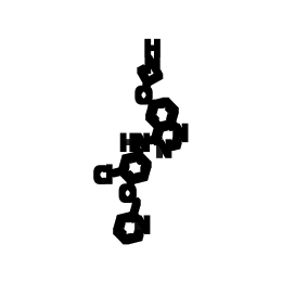 Clc1cc(Nc2ncnc3ccc(OC4CNC4)cc23)ccc1OCc1ccccn1